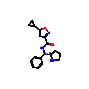 O=C(NC(c1ccccc1)[C@@H]1CCCN1)c1cc(C2CC2)on1